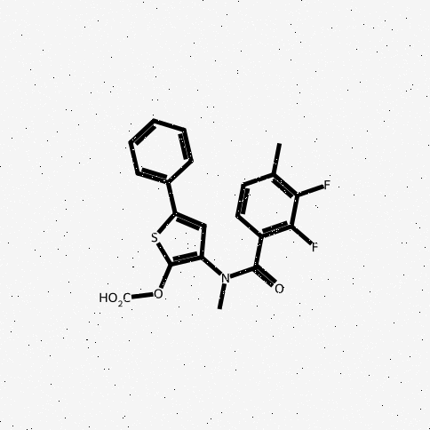 Cc1ccc(C(=O)N(C)c2cc(-c3ccccc3)sc2OC(=O)O)c(F)c1F